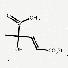 CCOC(=O)C=CC(C)(O)S(=O)O